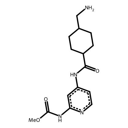 COC(=O)Nc1cc(NC(=O)C2CCC(CN)CC2)ccn1